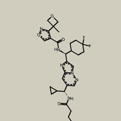 CCCC(=O)N[C@@H](c1cnn2cc([C@@H](NC(=O)c3conc3C3(C)COC3)C3CCC(F)(F)CC3)nc2c1)C1CC1